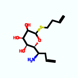 C=CCCS[C@H]1O[C@H]([C@H](N)CC=C)[C@H](O)[C@H](O)[C@H]1O